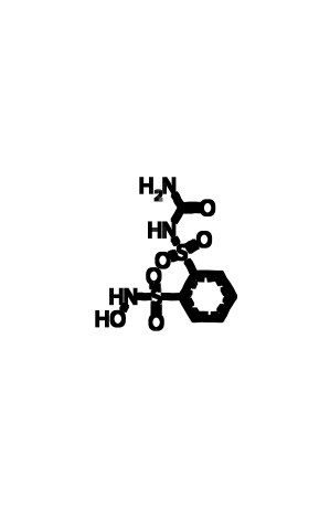 NC(=O)NS(=O)(=O)c1ccccc1S(=O)(=O)NO